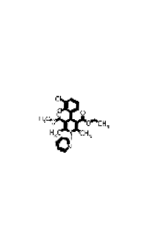 CCOC(=O)C1=C(C)NC(C)=C(C(=O)OC)C1c1cccc(Cl)c1Cl.c1ccncc1